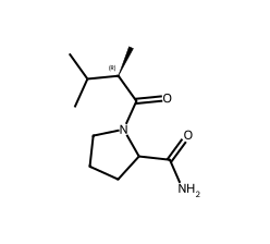 CC(C)[C@@H](C)C(=O)N1CCCC1C(N)=O